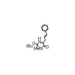 CNC(=O)[C@H](C/C=C/c1ccccc1)NC(=O)OC(C)(C)C